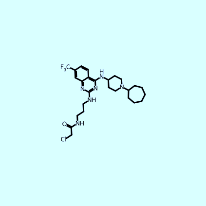 O=C(CCl)NCCCNc1nc(NC2CCN(C3CCCCCC3)CC2)c2ccc(C(F)(F)F)cc2n1